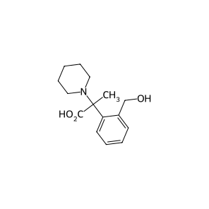 CC(C(=O)O)(c1ccccc1CO)N1CCCCC1